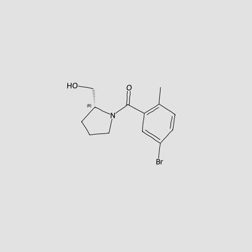 Cc1ccc(Br)cc1C(=O)N1CCC[C@@H]1CO